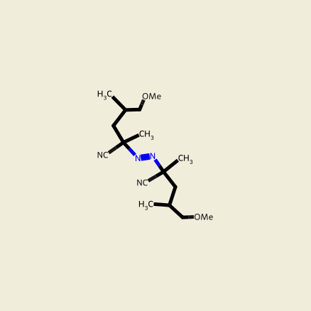 COCC(C)CC(C)(C#N)N=NC(C)(C#N)CC(C)COC